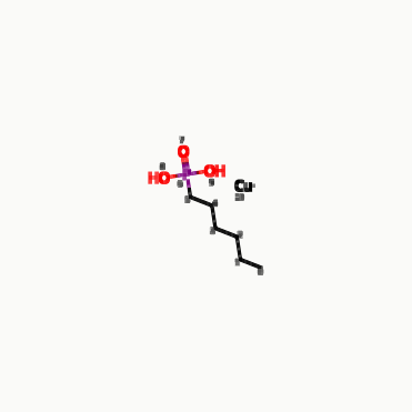 CCCCCCP(=O)(O)O.[Cu]